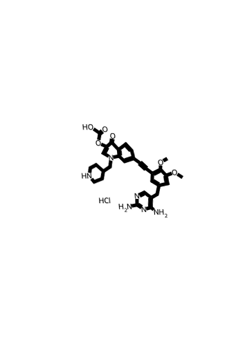 COc1cc(Cc2cnc(N)nc2N)cc(C#Cc2ccc3c(=O)c(OC(=O)O)cn(CC4CCNCC4)c3c2)c1OC.Cl